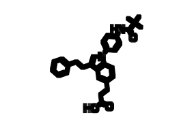 CC(C)(C)C(=O)Nc1ccc(-n2cc(CCc3ccccc3)c3cc(CCC(=O)O)ccc32)cc1